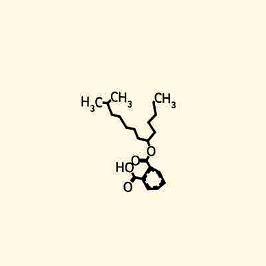 CCCCCC(CCCCCC(C)C)OC(=O)c1ccccc1C(=O)O